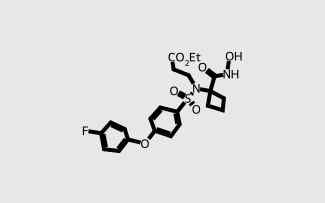 CCOC(=O)CCN(C1(C(=O)NO)CCC1)S(=O)(=O)c1ccc(Oc2ccc(F)cc2)cc1